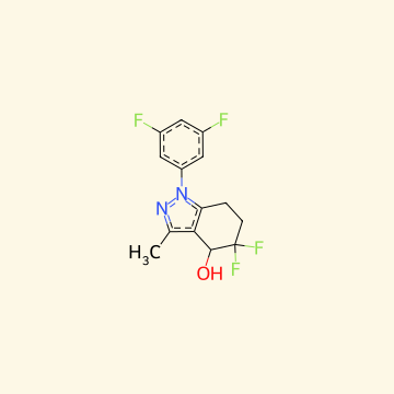 Cc1nn(-c2cc(F)cc(F)c2)c2c1C(O)C(F)(F)CC2